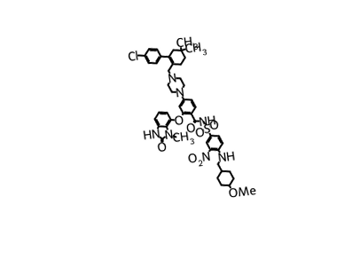 COC1CCC(CNc2ccc(S(=O)(=O)NC(=O)c3ccc(N4CCN(CC5=C(c6ccc(Cl)cc6)CC(C)(C)CC5)CC4)cc3Oc3cccc4[nH]c(=O)n(C)c34)cc2[N+](=O)[O-])CC1